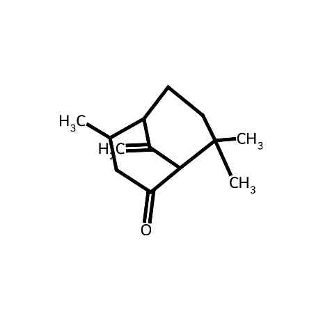 C=C1C2CCC(C)(C)C1C(=O)CC2C